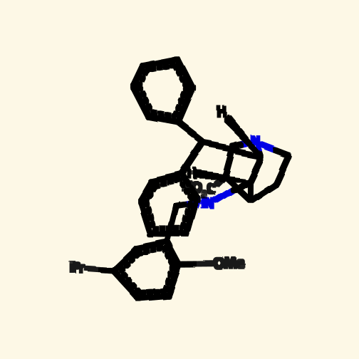 COc1ccc(C(C)C)cc1CN[C@H]1C2CCN(CC2C(=O)O)[C@H]1C(c1ccccc1)c1ccccc1